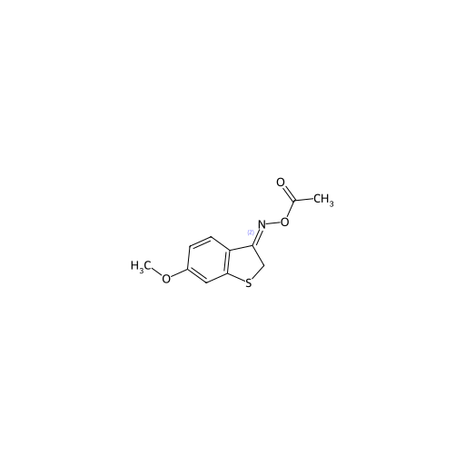 COc1ccc2c(c1)SC/C2=N\OC(C)=O